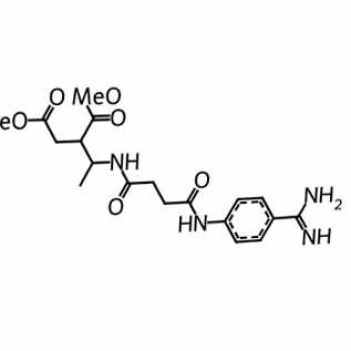 COC(=O)CC(C(=O)OC)C(C)NC(=O)CCC(=O)Nc1ccc(C(=N)N)cc1